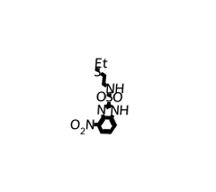 CCSCCNS(=O)(=O)c1nc2c([N+](=O)[O-])cccc2[nH]1